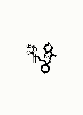 Cc1c2cnccc2nn1CC1(CCCNC(=O)OC(C)(C)C)CCCCC1